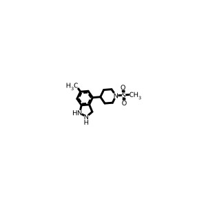 Cc1cc2c(c(C3CCN(S(C)(=O)=O)CC3)c1)CNN2